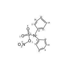 O=[N+]([O-])OS(=O)(=O)N(c1ccccc1)c1ccccc1